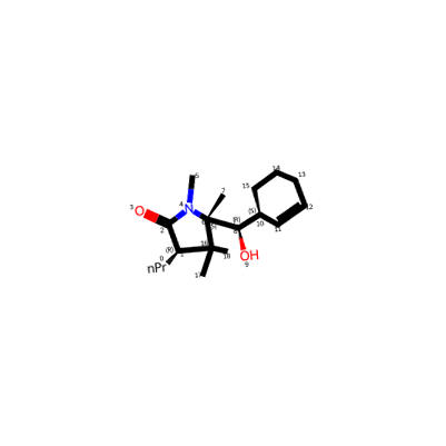 CCC[C@H]1C(=O)N(C)[C@](C)([C@H](O)[C@@H]2C=CCCC2)C1(C)C